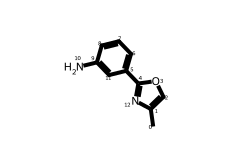 Cc1coc(-c2cccc(N)c2)n1